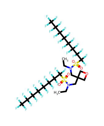 CCN(CC1(CN(CC)S(=O)(=O)C(F)(F)C(F)(F)C(F)(F)C(F)(F)C(F)(F)C(F)(F)C(F)(F)C(F)(F)F)COC1)S(=O)(=O)C(F)(F)C(F)(F)C(F)(F)C(F)(F)C(F)(F)C(F)(F)C(F)(F)C(F)(F)F